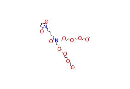 COCCOCCOCCOCCN(CCOCCOCCOCCOC)C(=O)CCCCCN1C(=O)C=CC1=O